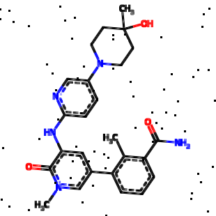 Cc1c(C(N)=O)cccc1-c1cc(Nc2ccc(N3CCC(C)(O)CC3)cn2)c(=O)n(C)c1